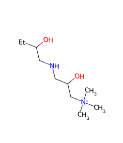 CCC(O)CNCC(O)C[N+](C)(C)C